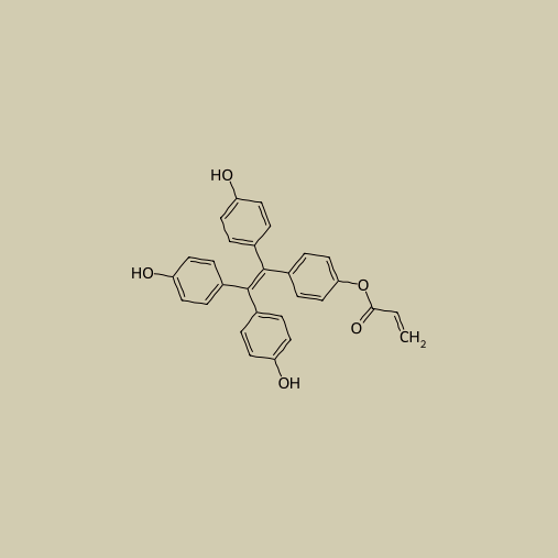 C=CC(=O)Oc1ccc(C(=C(c2ccc(O)cc2)c2ccc(O)cc2)c2ccc(O)cc2)cc1